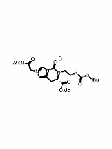 CNC(=O)C[n+]1cc2n(c1)C(=O)N(CCNC(=O)OC(C)(C)C)[C@H](C(=O)OC)C2.[Br-]